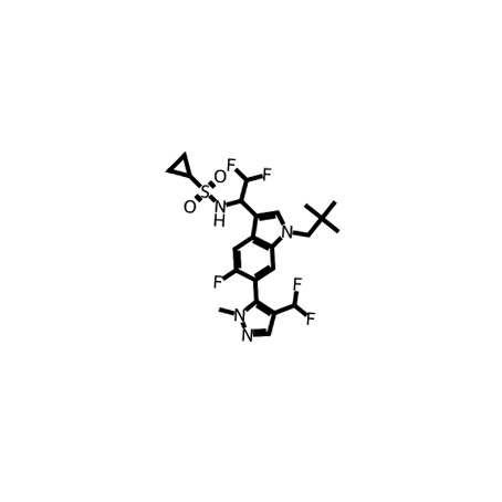 Cn1ncc(C(F)F)c1-c1cc2c(cc1F)c(C(NS(=O)(=O)C1CC1)C(F)F)cn2CC(C)(C)C